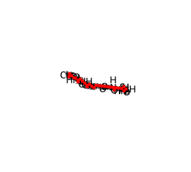 O=C(CCCC[C@H]1SC[C@@H]2NC(=O)N[C@@H]21)NCCCCCOC(=O)CCCCCC1=CC=C(c2ccc(OCC(=O)N[C@H]3CC[C@H](NC(=O)COc4ccc(Cl)cc4)CC3)cc2)C1